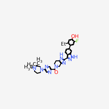 CCc1cc(O)c(F)cc1-c1ccc2c(-c3nc4c([nH]3)CCN(C(=O)c3cnc(N5CCCN(C)C(C)(C)C5)cn3)C4)n[nH]c2c1